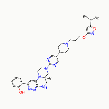 CC(=O)C(c1cc(OCCCN2CCC(c3cnc(N4CCN5c6cc(-c7ccccc7O)nnc6NC[C@H]5C4)nc3)CC2)no1)C(C)C